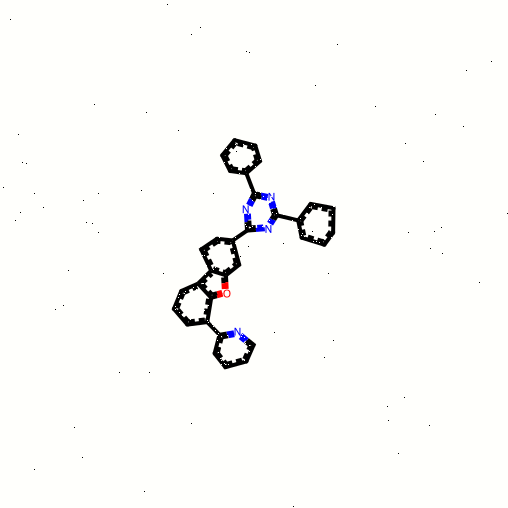 c1ccc(-c2nc(-c3ccccc3)nc(-c3ccc4c(c3)oc3c(-c5ccccn5)cccc34)n2)cc1